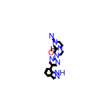 N#CN1CCN2CCN(c3ncc(-c4cccc5cn[nH]c45)cn3)C(=O)[C@H]2C1